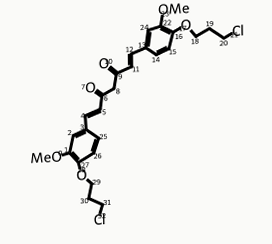 COc1cc(C=CC(=O)CC(=O)C=Cc2ccc(OCCCCl)c(OC)c2)ccc1OCCCCl